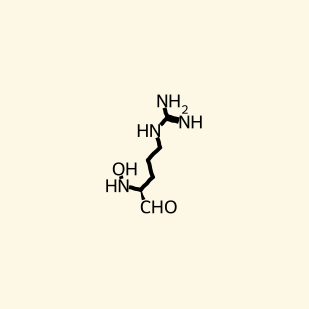 N=C(N)NCCC[C@@H](C=O)NO